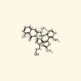 Cc1nnc(-c2c(N)ncnc2N[C@@H](C)c2cc3cccc(Cl)c3c(=O)n2-c2ccn(CCO)n2)o1